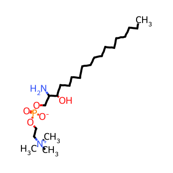 CCCCCCCCCCCCCCCC(O)C(N)COP(=O)([O-])OCC[N+](C)(C)C